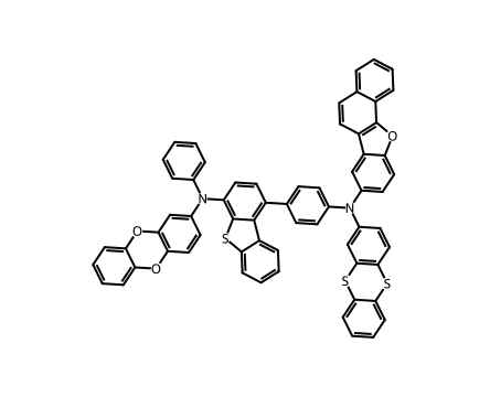 c1ccc(N(c2ccc3c(c2)Oc2ccccc2O3)c2ccc(-c3ccc(N(c4ccc5c(c4)Sc4ccccc4S5)c4ccc5oc6c7ccccc7ccc6c5c4)cc3)c3c2sc2ccccc23)cc1